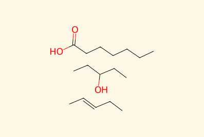 CC=CCC.CCC(O)CC.CCCCCCC(=O)O